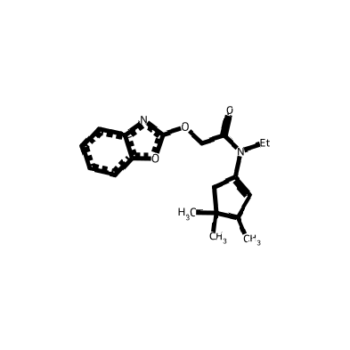 CCN(C(=O)COc1nc2ccccc2o1)C1=CC(C)C(C)(C)C1